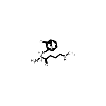 CNCCCC(=O)NN.Nn1c(=O)c2ccc1cc2